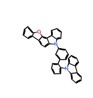 c1cc(-c2ccccc2-n2c3ccccc3c3ccccc32)cc(-n2c3ccccc3c3c4oc5ccccc5c4ccc32)c1